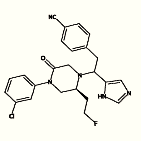 N#Cc1ccc(CC(c2cnc[nH]2)N2CC(=O)N(c3cccc(Cl)c3)C[C@@H]2CCF)cc1